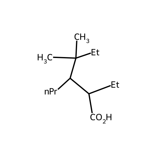 CCCC(C(CC)C(=O)O)C(C)(C)CC